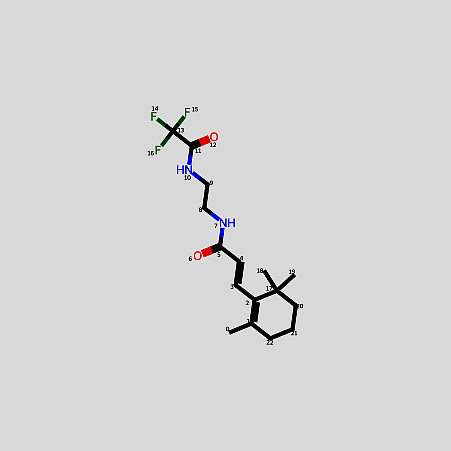 CC1=C(C=CC(=O)NCCNC(=O)C(F)(F)F)C(C)(C)CCC1